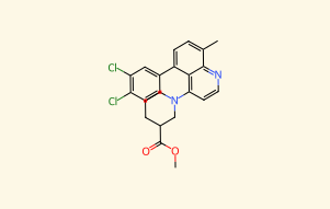 COC(=O)C1CCCN(c2ccnc3c(C)ccc(-c4ccc(Cl)c(Cl)c4)c23)C1